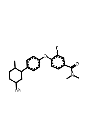 CCCC1CCC(C)C(c2ccc(Oc3ccc(C(=O)N(C)C)cc3F)cc2)C1